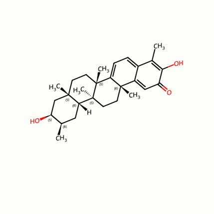 CC1=C(O)C(=O)C=C2C1=CC=C1[C@@]2(C)CC[C@@]2(C)[C@@H]3C[C@@H](C)[C@@H](O)C[C@]3(C)CC[C@]12C